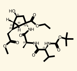 CCOC(=O)[C@]1(NC(=O)[C@H](C)NC(=O)[C@@H](NC(=O)OC(C)(C)C)C(C)C)C[C@H](O)[C@H]2[C@H](CC(=O)OC)[C@H]21